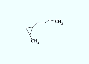 CCCC[C]1CC1C